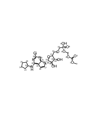 COC(=O)OCOP(=O)(O)COCC1O[C@@H](n2ccc3c(NC4CCCC4)nc(Cl)nc32)[C@H](O)[C@@H]1O